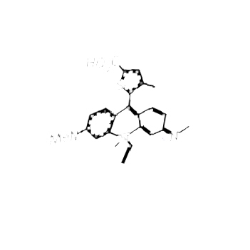 C=C[Si]1(C)C2=C/C(=N/C)C=CC2=C(c2sc(C(=O)O)cc2C)c2ccc(NC)cc21